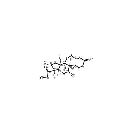 C[C@]12CCC(=O)C=C1CC[C@H]1[C@@H]3C[C@@H](O)[C@](O)(C(=O)CCl)[C@@]3(C)C[C@H](O)[C@@]12F